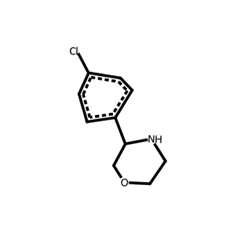 Clc1ccc(C2COCCN2)cc1